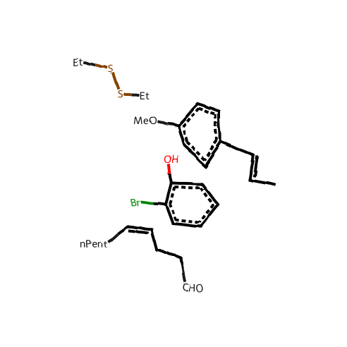 C/C=C/c1ccc(OC)cc1.CCCCC/C=C\CCC=O.CCSSCC.Oc1ccccc1Br